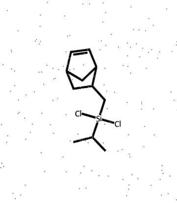 CC(C)[Si](Cl)(Cl)CC1CC2C=CC1C2